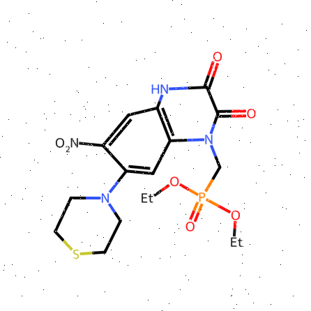 CCOP(=O)(Cn1c(=O)c(=O)[nH]c2cc([N+](=O)[O-])c(N3CCSCC3)cc21)OCC